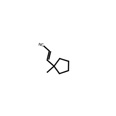 CC1(C=CC#N)CCCC1